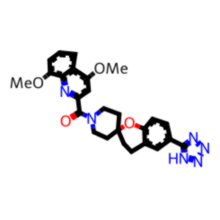 COc1cc(C(=O)N2CCC3(CCc4cc(-c5nnn[nH]5)ccc4O3)CC2)nc2c(OC)cccc12